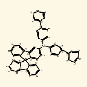 C1=CC(c2ccc(N(c3ccc(-c4ccccc4)cc3)c3ccc4c(c3)-c3ccccc3C43c4ccccc4-c4ccccc43)cc2)=CCC1